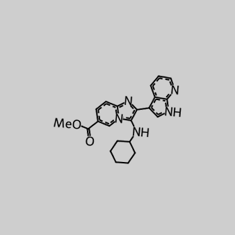 COC(=O)c1ccc2nc(-c3c[nH]c4ncccc34)c(NC3CCCCC3)n2c1